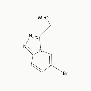 COCc1nnc2ccc(Br)cn12